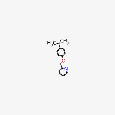 CC(C)c1ccc(OCc2ccccn2)cc1